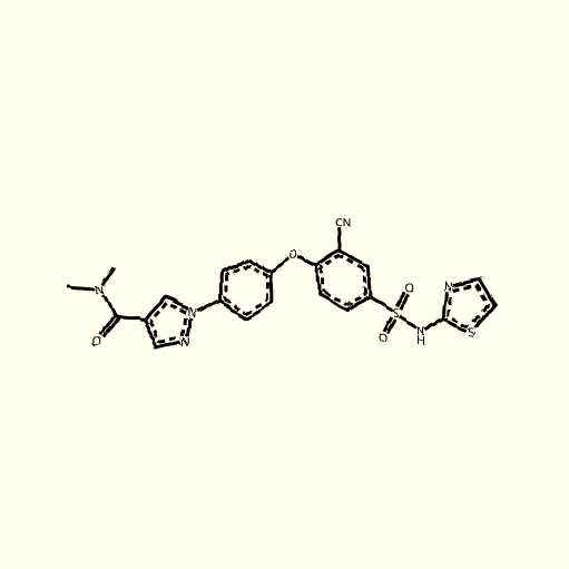 CN(C)C(=O)c1cnn(-c2ccc(Oc3ccc(S(=O)(=O)Nc4nccs4)cc3C#N)cc2)c1